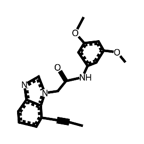 CC#Cc1cccc2ncn(CC(=O)Nc3cc(OC)cc(OC)c3)c12